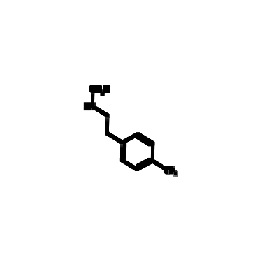 O=C(O)NCCc1ccc(C(F)(F)F)cc1